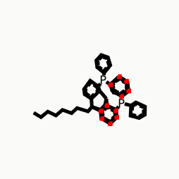 CCCCCCCCC12c3ccccc3C(c3c(P(c4ccccc4)c4ccccc4)cccc31)c1c(P(c3ccccc3)c3ccccc3)cccc12